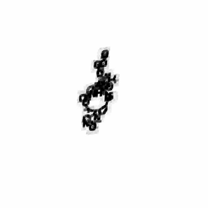 CCn1c(-c2cccnc2[C@H](C)OC)c2c3cc(ccc31)-c1csc(n1)C[C@H](NC(=O)[C@H](C(C)C)N(C)C(=O)[C@H]1CCN(C(=O)OC3COC3)C1)C(=O)N1CCC[C@H](N1)C(=O)OCC(C)(C)C2